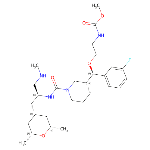 CNC[C@H](C[C@H]1C[C@@H](C)O[C@@H](C)C1)NC(=O)N1CCC[C@@H]([C@@H](OCCNC(=O)OC)c2cccc(F)c2)C1